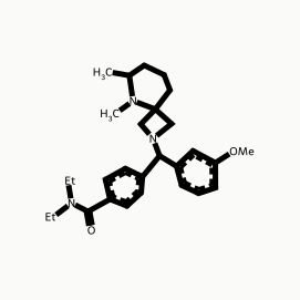 CCN(CC)C(=O)c1ccc(C(c2cccc(OC)c2)N2CC3(CCCC(C)N3C)C2)cc1